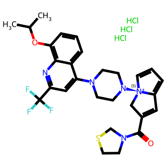 CC(C)Oc1cccc2c(N3CCN([N@@+]45C=CC=C4C=C(C(=O)N4CCSC4)C5)CC3)cc(C(F)(F)F)nc12.Cl.Cl.Cl